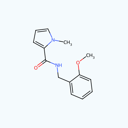 COc1ccccc1CNC(=O)c1cccn1C